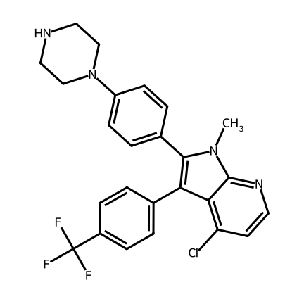 Cn1c(-c2ccc(N3CCNCC3)cc2)c(-c2ccc(C(F)(F)F)cc2)c2c(Cl)ccnc21